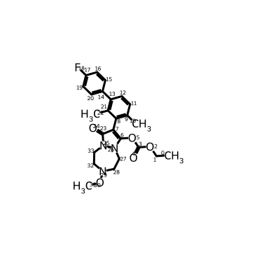 CCOC(=O)Oc1c(-c2c(C)ccc(-c3ccc(F)cc3)c2C)c(=O)n2n1CCN(OC)CC2